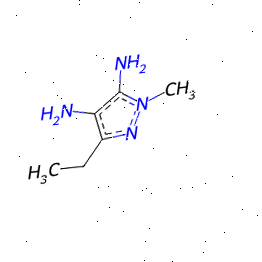 CCc1nn(C)c(N)c1N